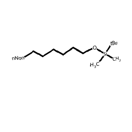 CCCCCCCCCCCC[CH]CCO[Si](C)(C)C(C)(C)C